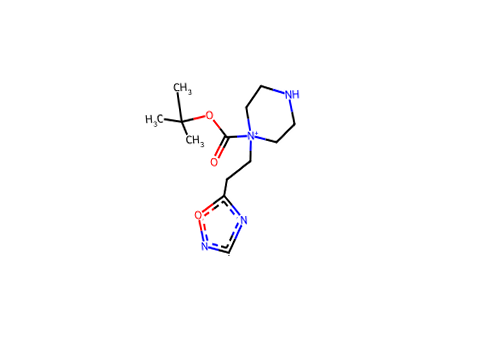 CC(C)(C)OC(=O)[N+]1(CCc2n[c]no2)CCNCC1